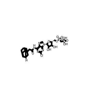 O=C(CC12CC3=C[C@H](CC(C3)C1)C2)Nc1nc(Cl)nc2c1ncn2[C@@H]1O[C@H](COP(=O)(O)CP(=O)(O)O)C(O)C1O